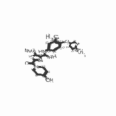 CNc1sc(C(=O)N2CCC(O)CC2)nc1C(=N)Nc1ccc(Oc2ccc(C)nc2)c(C)c1